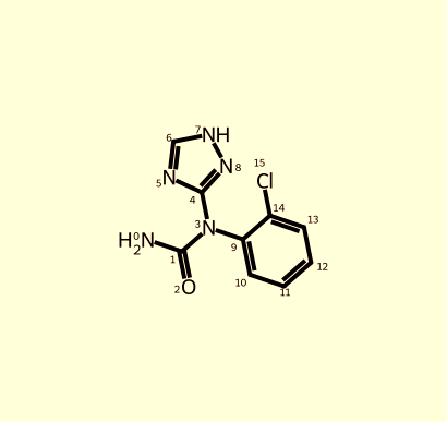 NC(=O)N(c1nc[nH]n1)c1ccccc1Cl